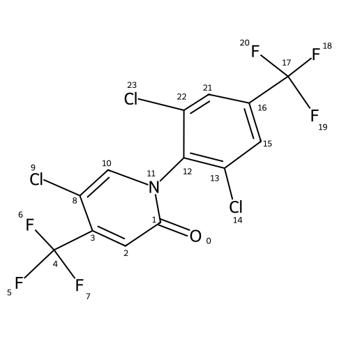 O=c1cc(C(F)(F)F)c(Cl)cn1-c1c(Cl)cc(C(F)(F)F)cc1Cl